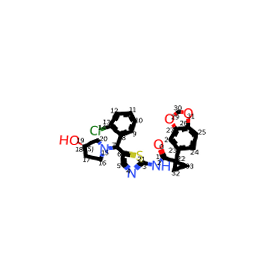 O=C(Nc1ncc(C(c2ccccc2Cl)N2CC[C@H](O)C2)s1)C1(c2ccc3c(c2)OCO3)CC1